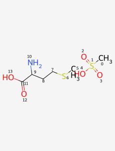 CS(=O)(=O)O.CSCCC(N)C(=O)O